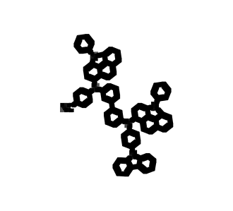 N#Cc1ccc(N(c2cccc(-c3cccc(N(c4ccc(-n5c6ccccc6c6ccccc65)cc4)c4ccc5c6c4ccc4cccc(c46)n5-c4ccccc4)c3)c2)c2ccc3c4c2ccc2cccc(c24)n3-c2ccccc2)cc1